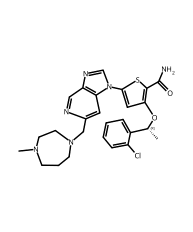 C[C@@H](Oc1cc(-n2cnc3cnc(CN4CCCN(C)CC4)cc32)sc1C(N)=O)c1ccccc1Cl